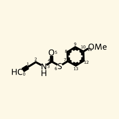 C#CCNC(=O)Sc1ccc(OC)cc1